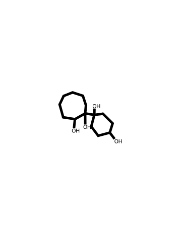 OC1CCC(O)(C2(O)CCCCCCC2O)CC1